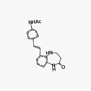 CC(=O)Nc1ccc(/C=C/c2cccc3c2NCCC(=O)N3)cc1